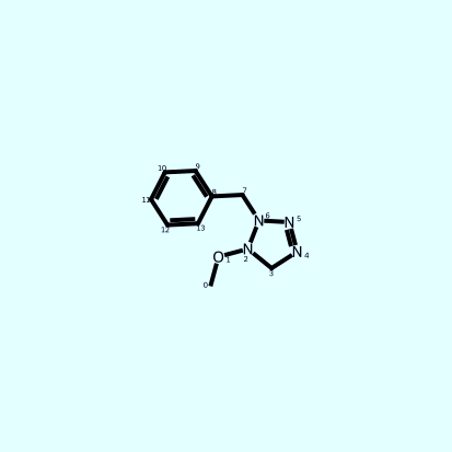 CON1CN=NN1Cc1ccccc1